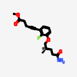 COC(=O)CCC#Cc1cccc(OC[C@@H](C)CCC(N)=O)c1F